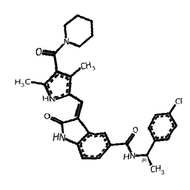 Cc1[nH]c(C=C2C(=O)Nc3ccc(C(=O)N[C@H](C)c4ccc(Cl)cc4)cc32)c(C)c1C(=O)N1CCCCC1